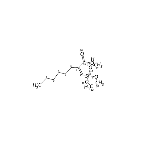 CCCCCCC(=C[Si](OC)(OC)OC)C(=O)O